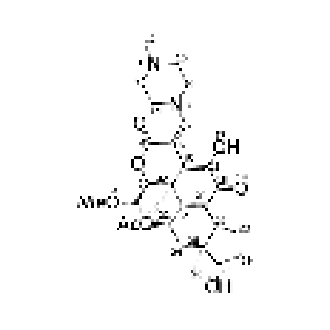 COC[C@H]1OC(=O)C(=CN2CCN(C)CC2)C2=C(O)C(=O)C3=C([C@H](OC(C)=O)C[C@@]4(C)C3CC[C@@H]4O)[C@]21C